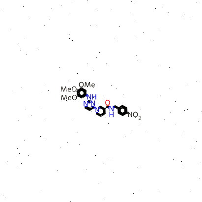 COc1cc(Nc2nccc(N3CCC[C@H](C(=O)NCc4ccc([N+](=O)[O-])cc4)C3)n2)cc(OC)c1OC